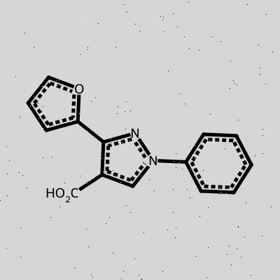 O=C(O)c1cn(-c2ccccc2)nc1-c1ccco1